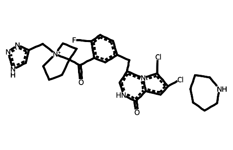 C1CCCNCC1.O=C(c1cc(Cc2c[nH]c(=O)c3cc(Cl)c(Cl)n23)ccc1F)C12CCC[N+]1(Cc1c[nH]nn1)CC2